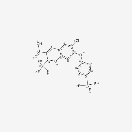 O=C(O)C1=Cc2cc(Cl)c(Oc3ccc(C(F)(F)F)cc3)cc2OC1C(F)(F)F